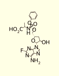 CC(NP(=O)(OC[C@@H]1C[C@@H](O)[C@H](n2cnc3c(N)nc(F)nc32)O1)Oc1ccccc1)C(=O)O